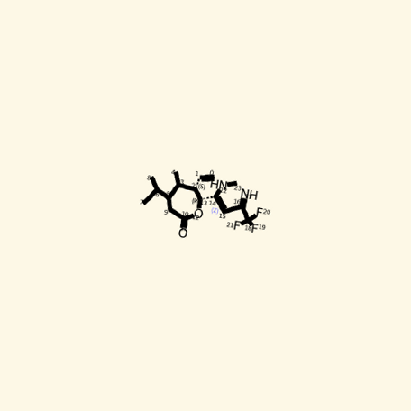 C=C[C@H]1C(C)C(C(C)C)CC(=O)O[C@H]1/C(=C/C(=N)C(F)(F)F)NC